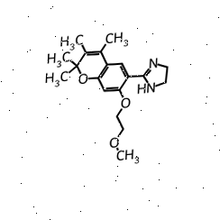 COCCOc1cc2c(cc1C1=NCCN1)C(C)=C(C)C(C)(C)O2